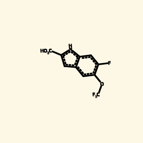 O=C(O)c1cc2cc(OC(F)(F)F)c(F)cc2[nH]1